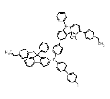 C=Cc1ccc(CC2(c3ccccc3)c3ccccc3-c3ccc(N(c4ccc(-c5ccc(F)cc5)cc4)c4ccc(-c5ccc6c(c5)C5(C)CC(c7ccc(C=C)cc7)=CC=C5N6c5ccccc5)cc4)cc32)cc1